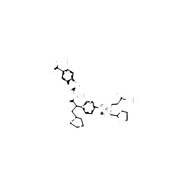 O=C(O)CCN(CC1CCCO1)S(=O)(=O)c1ccc(C(CC2CCCC2)C(=O)Nc2nc3ccc(C(=O)O)cc3s2)cc1